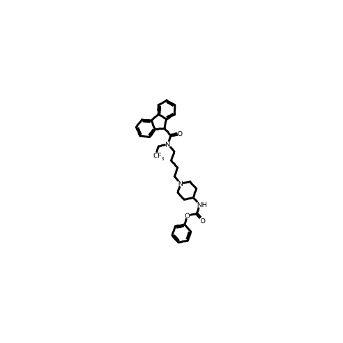 O=C(NC1CCN(CCCCN(CC(F)(F)F)C(=O)C2c3ccccc3-c3ccccc32)CC1)Oc1ccccc1